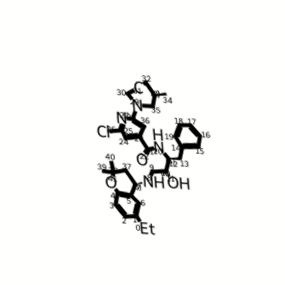 CCc1ccc2c(c1)[C@@H](NC[C@@H](O)[C@H](Cc1ccccc1)NC(=O)c1cc(Cl)nc(N3CCC[C@@H](C)C3)c1)CC(C)(C)O2